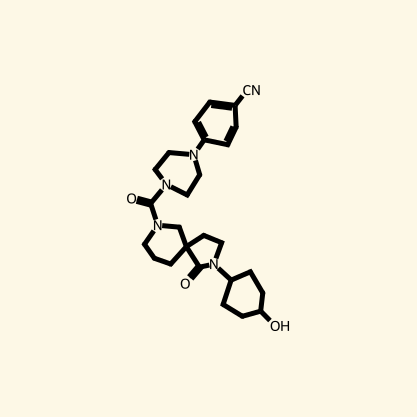 N#Cc1ccc(N2CCN(C(=O)N3CCCC4(CCN(C5CCC(O)CC5)C4=O)C3)CC2)cc1